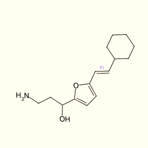 NCCC(O)c1ccc(/C=C/C2CCCCC2)o1